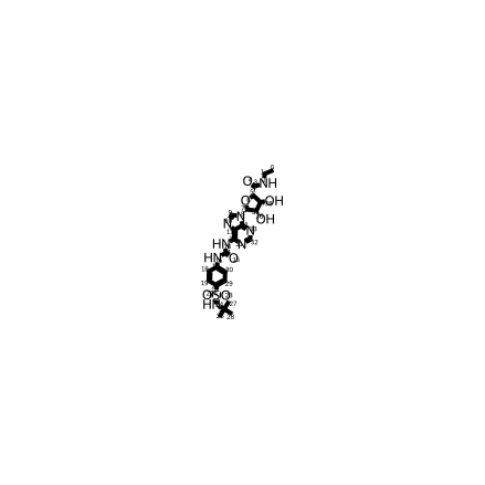 CCNC(=O)[C@H]1O[C@@H](n2cnc3c(NC(=O)Nc4ccc(S(=O)(=O)NC(C)(C)C)cc4)ncnc32)[C@@H](O)C1O